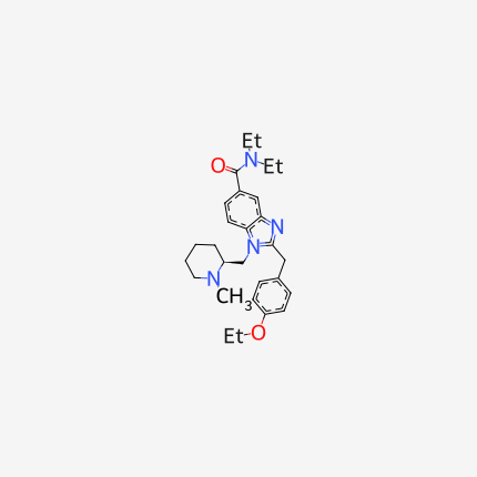 CCOc1ccc(Cc2nc3cc(C(=O)N(CC)CC)ccc3n2C[C@@H]2CCCCN2C)cc1